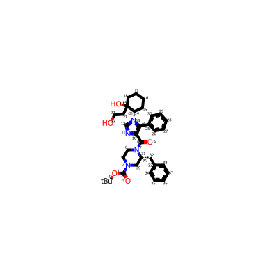 CC(C)(C)OC(=O)N1CCN(C(=O)c2ncn([C@H]3CCCCC3(O)CCO)c2-c2ccccc2)[C@H](Cc2ccccc2)C1